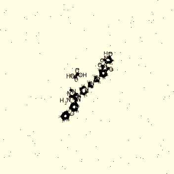 Nc1ncnc2c1c(-c1ccc(Oc3ccccc3)cc1)nn2C1CCN(C2CN(C3CN(c4ccc5c(c4)C(=O)N(C4CCC(=O)NC4=O)C5=O)C3)C2)CC1.O=C(O)C(=O)O